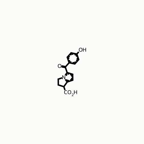 O=C(c1ccc(O)cc1)c1ccc2n1CCC2C(=O)O